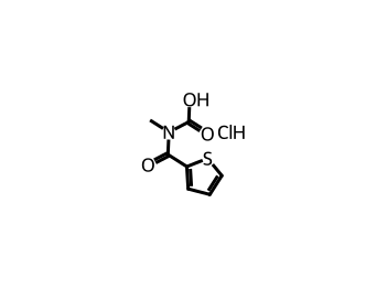 CN(C(=O)O)C(=O)c1cccs1.Cl